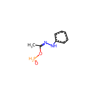 CC(=NNc1ccccc1)O[PH2]=O